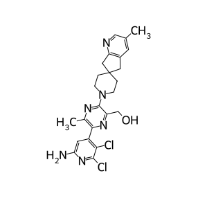 Cc1cnc2c(c1)CC1(CCN(c3nc(C)c(-c4cc(N)nc(Cl)c4Cl)nc3CO)CC1)C2